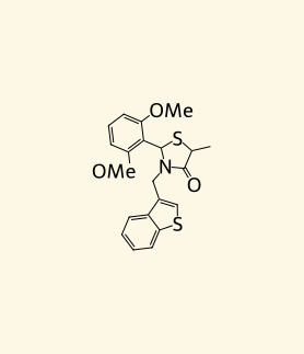 COc1cccc(OC)c1C1SC(C)C(=O)N1Cc1csc2ccccc12